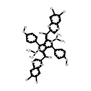 CCOc1ccc(-c2c3/c(=C(\C#N)c4cnc5cc(Cl)c(Cl)cc5n4)n(B(C)C)c(-c4ccc(OCC)cc4)c3/c(=C(\C#N)c3cnc4cc(Cl)c(Cl)cc4n3)n2B(C)C)cc1